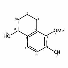 COc1c(C#N)ccc2c1CCCC2O